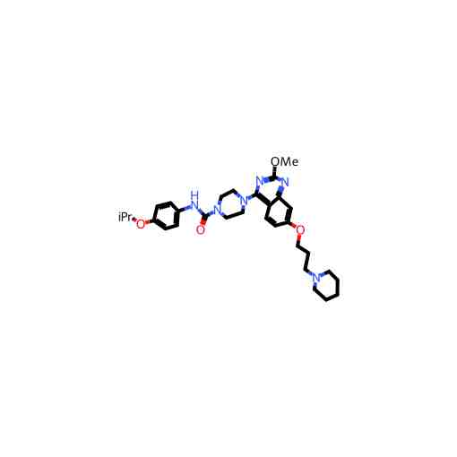 COc1nc(N2CCN(C(=O)Nc3ccc(OC(C)C)cc3)CC2)c2ccc(OCCCN3CCCCC3)cc2n1